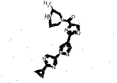 C[C@H]1CN(C(=O)c2coc(-c3cnn(-c4cnc(C5CC5)nc4)c3)n2)CCN1